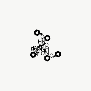 O=C(Cn1nc(NS(=O)(=O)c2ccccc2F)cc1C(=O)N[C@H]1CCCC[C@@H]1OCc1ccccc1)N[C@H]1CCCC[C@@H]1OCc1ccccc1